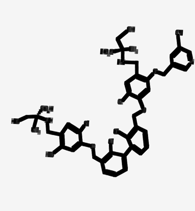 C[C@@](CO)(NCc1cc(Cl)c(OCc2cccc(-c3cccc(COc4cc(OCc5cncc(C#N)c5)c(CN[C@@](C)(CO)C(=O)O)cc4Cl)c3Cl)c2Cl)cc1O)C(=O)O